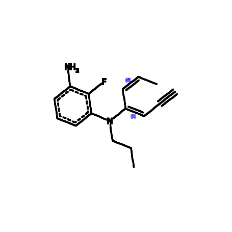 C#C/C=C(\C=C/C)N(CCC)c1cccc(N)c1F